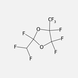 FC(F)C1(F)OC(F)(F)C(F)(C(F)(F)F)O1